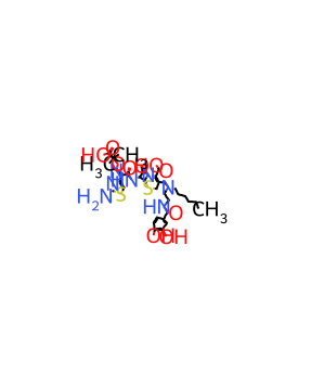 CCCCCCN(CCNC(=O)c1ccc(O)c(O)c1)CC1=C(C(=O)O)N2C(=O)C(NC(=O)/C(=N\OC(C)(C)C(=O)O)c3csc(N)n3)C2SC1